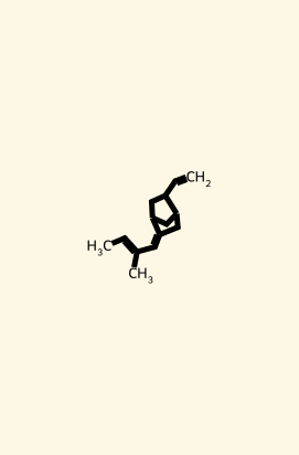 C=CC1CC2CC1CC2=CC(C)=CC